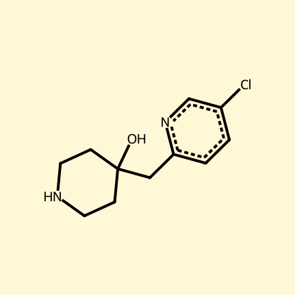 OC1(Cc2ccc(Cl)cn2)CCNCC1